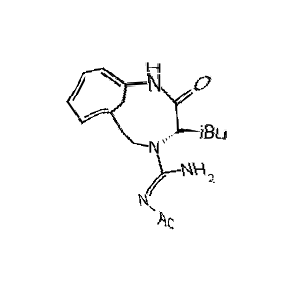 CC[C@H](C)[C@H]1C(=O)Nc2ccccc2CN1/C(N)=N/C(C)=O